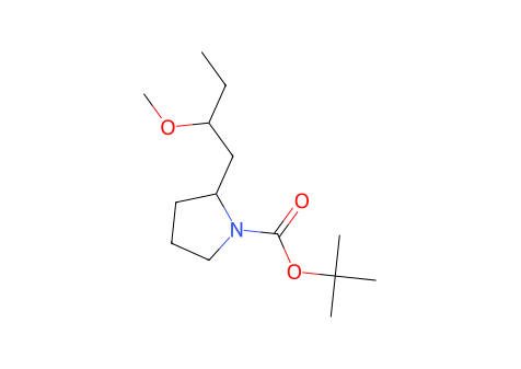 CCC(CC1CCCN1C(=O)OC(C)(C)C)OC